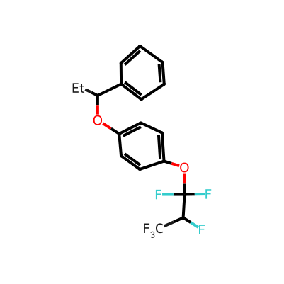 CCC(Oc1ccc(OC(F)(F)C(F)C(F)(F)F)cc1)c1ccccc1